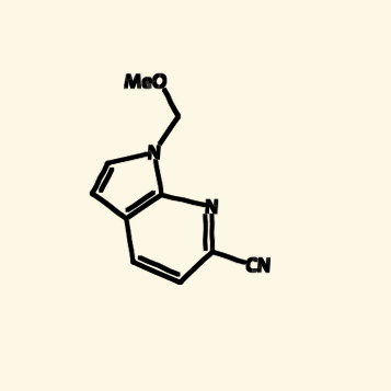 COCn1ccc2ccc(C#N)nc21